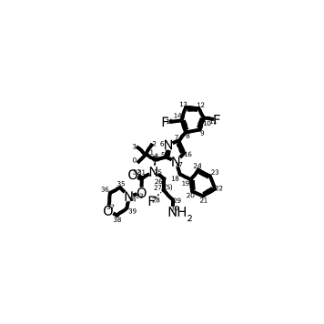 CC(C)(C)[C@H](c1nc(-c2cc(F)ccc2F)cn1Cc1ccccc1)N(C[C@@H](F)CN)C(=O)ON1CCOCC1